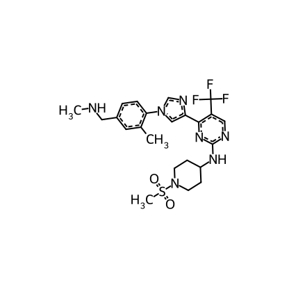 CNCc1ccc(-n2cnc(-c3nc(NC4CCN(S(C)(=O)=O)CC4)ncc3C(F)(F)F)c2)c(C)c1